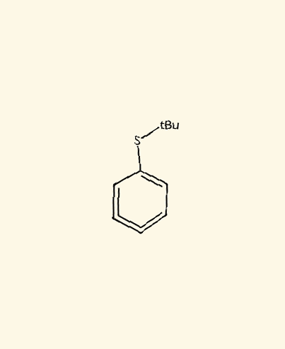 CC(C)(C)SC1=CC=C=C=C1